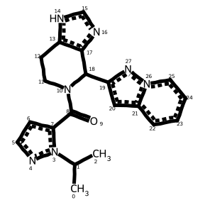 CC(C)n1nccc1C(=O)N1CCc2[nH]cnc2C1c1cc2ccccn2n1